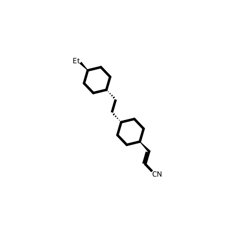 CC[C@H]1CC[C@H](CC[C@H]2CC[C@H](C=CC#N)CC2)CC1